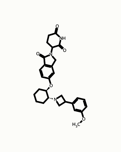 COc1cccc(C2CN([C@@H]3CCCC[C@H]3Oc3ccc4c(c3)CN(C3CCC(=O)NC3=O)C4=O)C2)c1